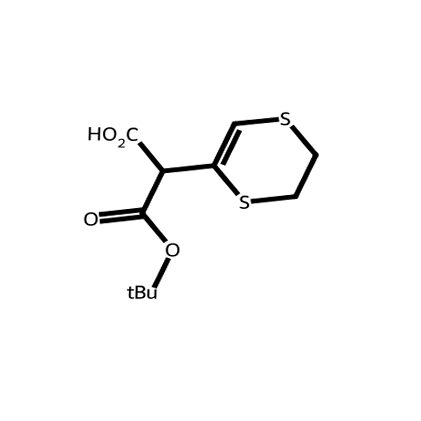 CC(C)(C)OC(=O)C(C(=O)O)C1=CSCCS1